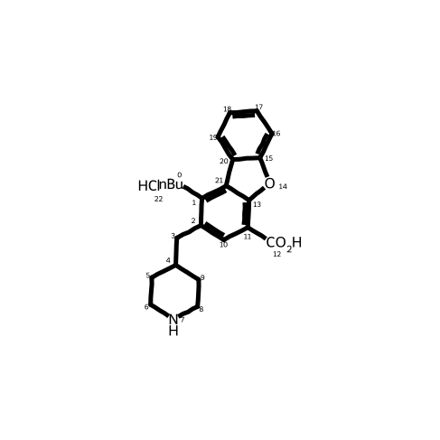 CCCCc1c(CC2CCNCC2)cc(C(=O)O)c2oc3ccccc3c12.Cl